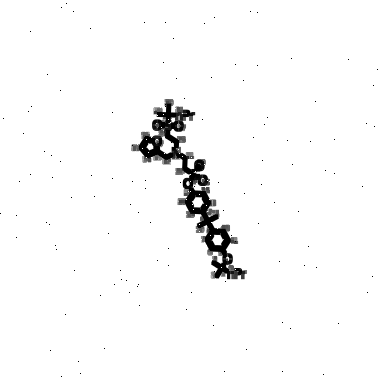 CCCC(C)(C)Oc1ccc(C(C)(C)c2ccc(OS(=O)(=O)CCN(CCS(=O)(=O)C(C)(C)CCC)Cc3ccco3)cc2)cc1